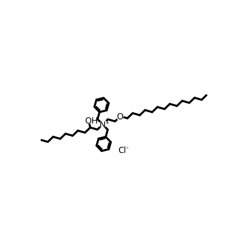 CCCCCCCCCCCCCCOCC[N+](Cc1ccccc1)(Cc1ccccc1)CC(O)CCCCCCCC.[Cl-]